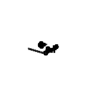 CCCCCCCCCCCCCCC1COC(COC(=O)NCCCC[n+]2ccsc2)C1.Cc1ccc(S(=O)(=O)[O-])cc1